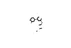 COc1ncc(Cc2cnc(NC(=O)O)cn2)cc1-c1ccc(F)c(Cl)c1